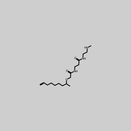 C=CCCCCCC(C)OCC(=O)NCCC(=O)NCCNC